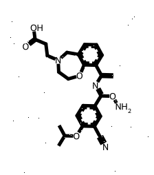 C=C(/N=C(\ON)c1ccc(OC(C)C)c(C#N)c1)c1cccc2c1OCCN(CCC(=O)O)C2